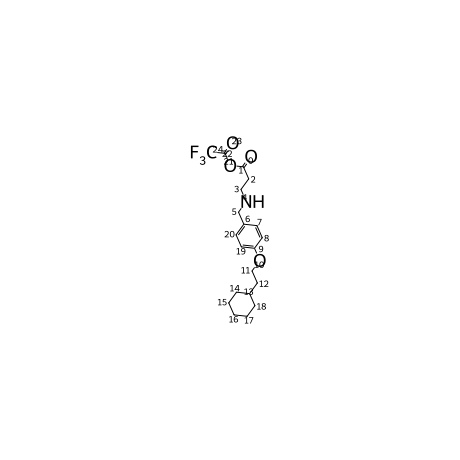 O=C(CCNCc1ccc(OCCC2CCCCC2)cc1)OC(=O)C(F)(F)F